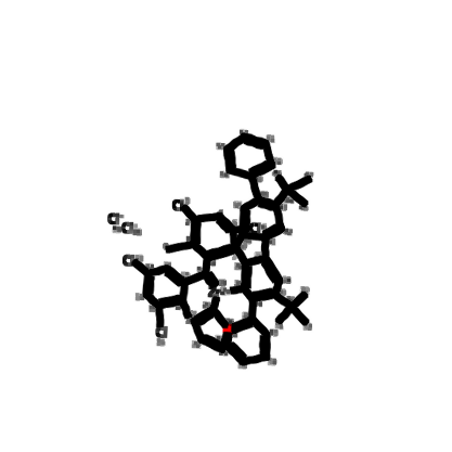 Cc1c(Cl)cc(Cl)cc1[C](c1cc(Cl)cc(Cl)c1C)=[Zr+2]([C]1=CC=CC1)[c]1c2c(cc(C(C)(C)C)c1-c1ccccc1)-c1cc(C(C)(C)C)c(-c3ccccc3)cc1C2.[Cl-].[Cl-]